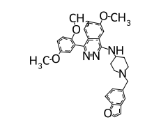 COc1ccc(OC)c(-c2nnc(NC3CCN(Cc4ccc5occc5c4)CC3)c3cc(OC)ccc23)c1